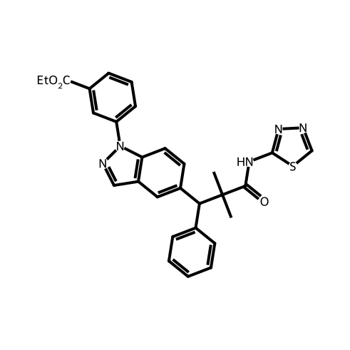 CCOC(=O)c1cccc(-n2ncc3cc(C(c4ccccc4)C(C)(C)C(=O)Nc4nncs4)ccc32)c1